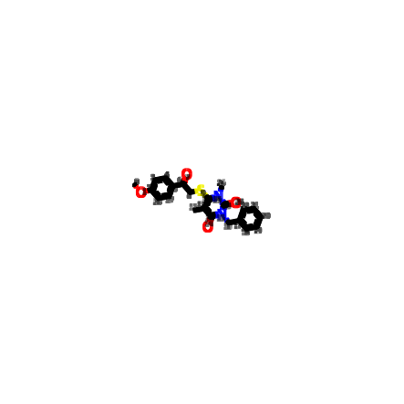 COc1ccc(C(=O)CSc2c(C)c(=O)n(Cc3ccccc3)c(=O)n2C)cc1